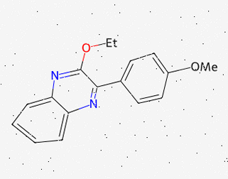 CCOc1nc2ccccc2nc1-c1ccc(OC)cc1